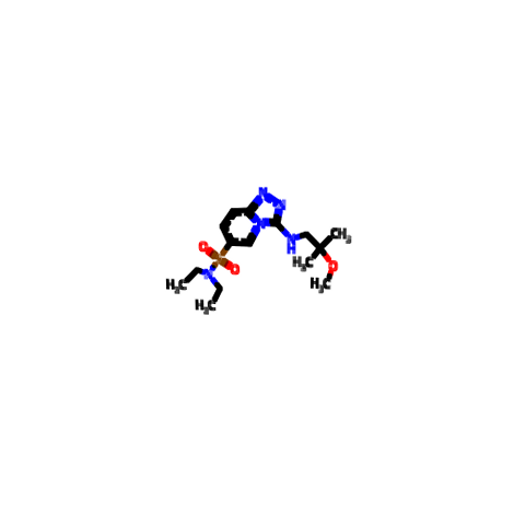 CCN(CC)S(=O)(=O)c1ccc2nnc(NCC(C)(C)OC)n2c1